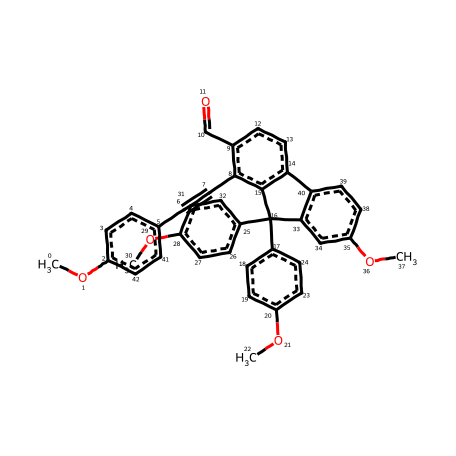 COc1ccc(C#Cc2c(C=O)ccc3c2C(c2ccc(OC)cc2)(c2ccc(OC)cc2)c2cc(OC)ccc2-3)cc1